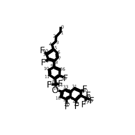 CCCCCc1ccc(-c2ccc(C(F)(F)Oc3cc(F)c4c(F)c(C(F)(F)F)c(F)cc4c3)c(F)c2)c(F)c1F